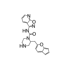 O=C(Nc1noc2ncccc12)N1CCNCC1Cc1ccc2cccc-2o1